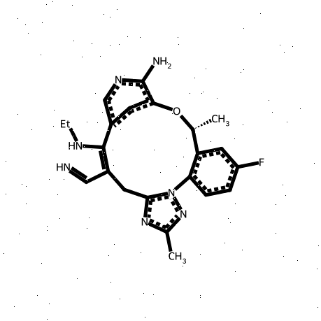 CCN/C1=C(\C=N)Cc2nc(C)nn2-c2ccc(F)cc2[C@@H](C)Oc2cc1cnc2N